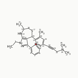 CCn1nc(-c2ccccn2)c2c1NC(C)CSC2c1ccc(C#CCN(C)C)cc1C